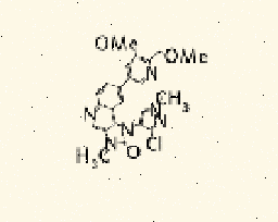 COCc1ncc(-c2ccc3ncc4c(c3c2)n(-c2cn(C)nc2Cl)c(=O)n4C)cc1OC